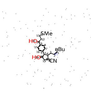 CCCC/C=C\CC1C(c2ccc(C(O)CCSC)cc2)[C@H](O)C[C@H]1C#N